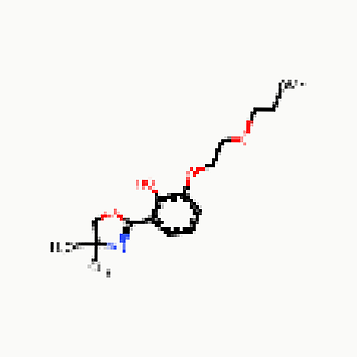 COCCOCCOc1cccc(C2=NC(C)(C)CO2)c1O